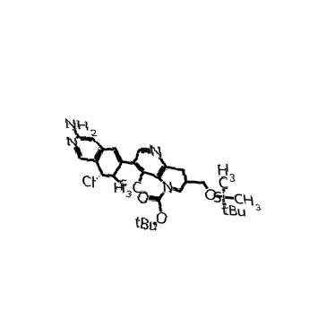 Cc1c(C2=Cc3cc(N)ncc3[C@@H](Cl)C2F)cnc2c1N(C(=O)OC(C)(C)C)CC(CO[Si](C)(C)C(C)(C)C)C2